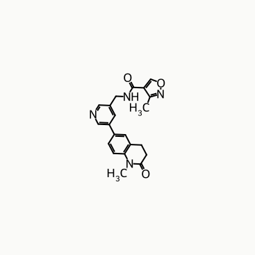 Cc1nocc1C(=O)NCc1cncc(-c2ccc3c(c2)CCC(=O)N3C)c1